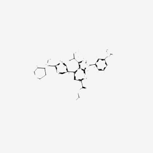 CCOC(=O)c1cc(-c2cnc(N(C)C3CCOCC3)nc2)c2c(C(C)C)nn(-c3cccc(N(C)C)c3)c2n1